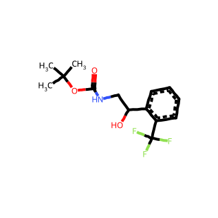 CC(C)(C)OC(=O)NCC(O)c1ccccc1C(F)(F)F